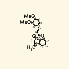 COc1ccc(/C=C/C(=O)[N+]2([O-])CN(C)c3ccccc32)cc1OC